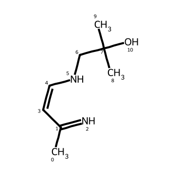 CC(=N)/C=C\NCC(C)(C)O